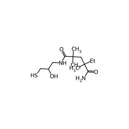 CCC(C)(CC(C)(C)C(=O)NCC(O)CS)C(N)=O